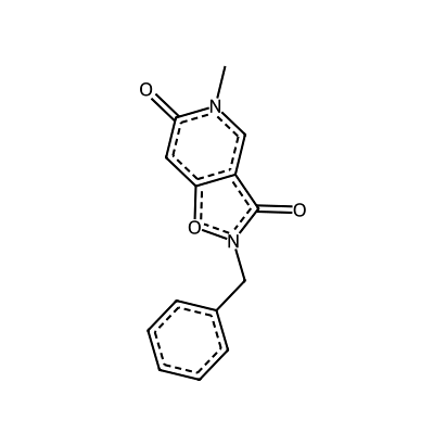 Cn1cc2c(=O)n(Cc3ccccc3)oc2cc1=O